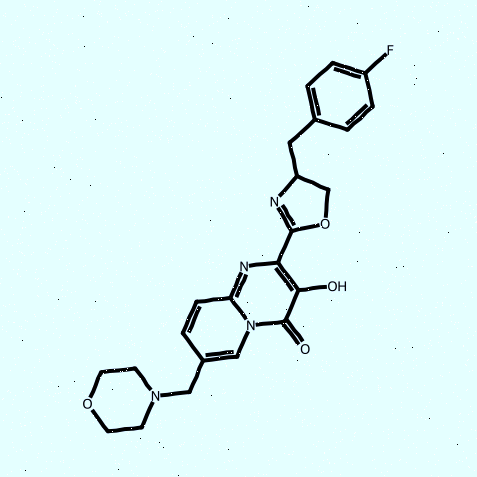 O=c1c(O)c(C2=NC(Cc3ccc(F)cc3)CO2)nc2ccc(CN3CCOCC3)cn12